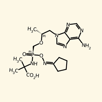 C[C@H](Cn1cnc2c(N)ncnc21)OC[P@](=O)(NC(C)(C)C(=O)O)ON=C1CCCC1